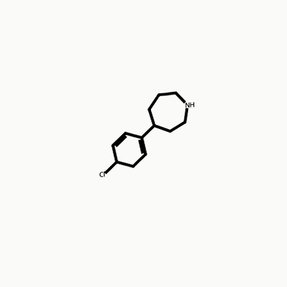 ClC1C=CC(C2CCCNCC2)=CC1